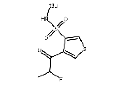 CC(F)C(=O)c1cscc1S(=O)(=O)NC(C)(C)C